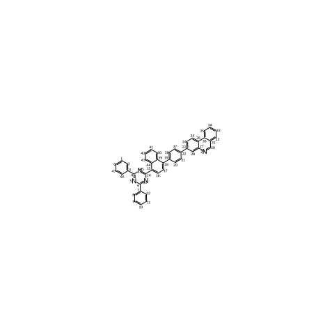 c1ccc(-c2nc(-c3ccccc3)nc(-c3ccc(-c4ccc(-c5ccc6c(c5)ncc5ccccc56)cc4)c4ccccc34)n2)cc1